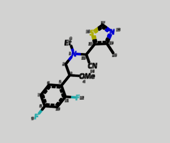 CCN(CC(OC)c1ccc(F)cc1F)C(C#N)c1scnc1C